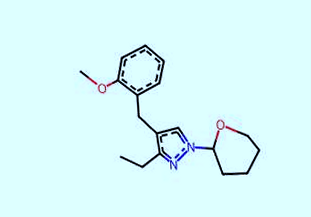 CCc1nn(C2CCCCO2)cc1Cc1ccccc1OC